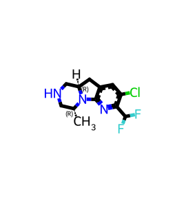 C[C@@H]1CNC[C@H]2Cc3cc(Cl)c(C(F)F)nc3N21